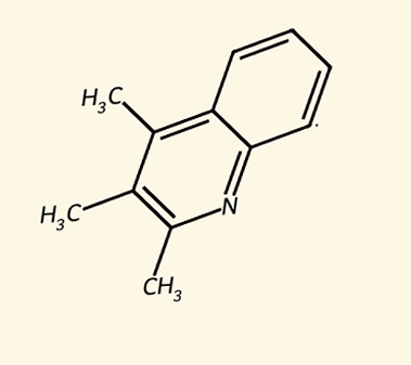 Cc1nc2[c]cccc2c(C)c1C